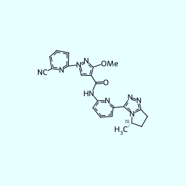 COc1nn(-c2cccc(C#N)n2)cc1C(=O)Nc1cccc(-c2nnc3n2[C@@H](C)CC3)n1